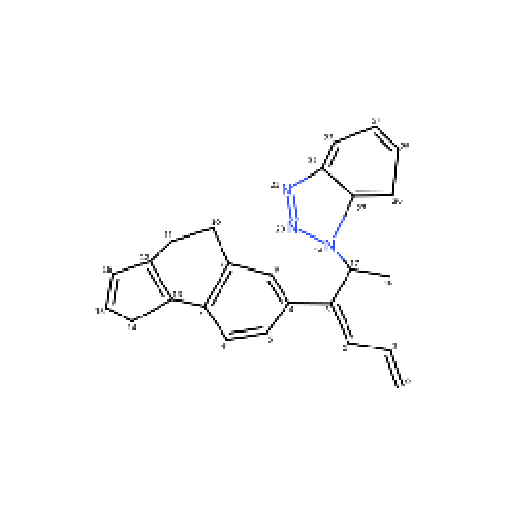 C=C/C=C(/c1ccc2c(c1)CCC1=C2CC=C1)C(C)n1nnc2ccccc21